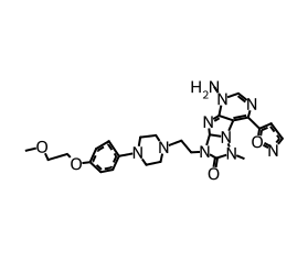 COCCOc1ccc(N2CCN(CCN3C(=O)N(C)N4C5=C(c6ccno6)N=CN(N)C5=NC34)CC2)cc1